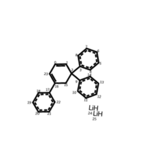 C1=CC(c2ccccc2)(c2ccccc2)CC(c2ccccc2)=C1.[LiH].[LiH]